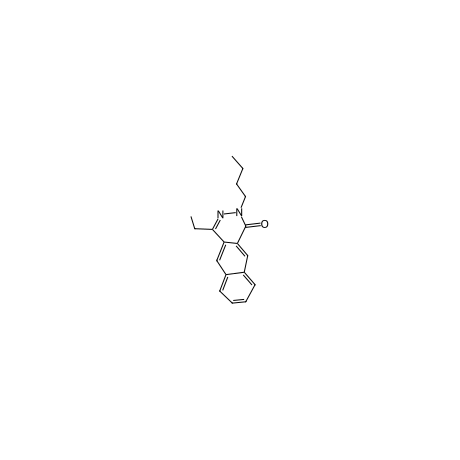 CCCCn1nc(CC)c2cc3ccccc3cc2c1=O